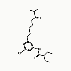 CCC(CC)C(=O)Nc1cc(Cl)cc(CCCCCC(=O)C(C)C)c1